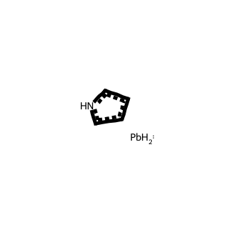 [PbH2].c1cc[nH]c1